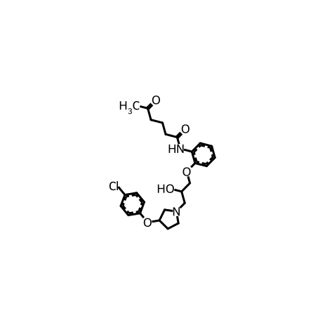 CC(=O)CCCC(=O)Nc1ccccc1OCC(O)CN1CCC(Oc2ccc(Cl)cc2)C1